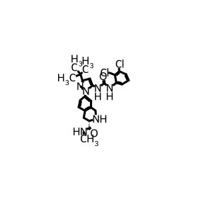 CNC(=O)[C@@H]1Cc2ccc(-n3nc(C(C)(C)C)cc3NC(=O)Nc3cccc(Cl)c3Cl)cc2CN1